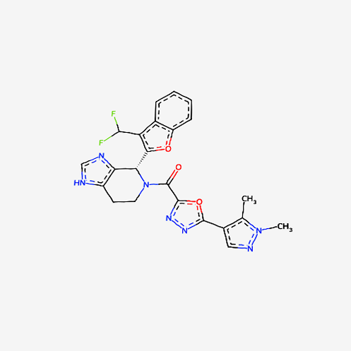 Cc1c(-c2nnc(C(=O)N3CCc4[nH]cnc4[C@@H]3c3oc4ccccc4c3C(F)F)o2)cnn1C